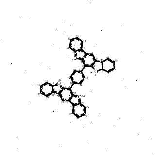 C1=CC2Oc3c(cc4c(oc5ccccc54)c3-c3ccc(-c4c5oc6ccccc6c5cc5c4oc4ccccc45)cc3)C2C=C1